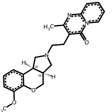 COc1cccc2c1OC[C@@H]1CN(CCc3c(C)nc4ccccn4c3=O)C[C@H]21